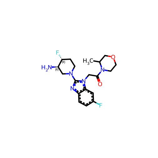 CC1COCCN1C(=O)Cn1c(N2CC[C@@H](F)[C@H](N)C2)nc2ccc(F)cc21